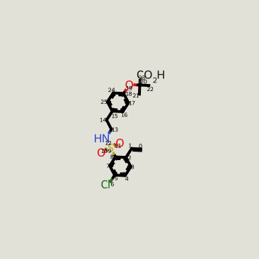 C=Cc1ccc(Cl)cc1S(=O)(=O)NCCc1ccc(OC(C)(C)C(=O)O)cc1